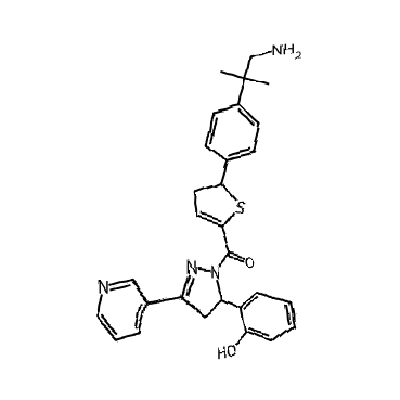 CC(C)(CN)c1ccc(C2CC=C(C(=O)N3N=C(c4cccnc4)CC3c3ccccc3O)S2)cc1